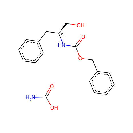 NC(=O)O.O=C(N[C@H](CO)Cc1ccccc1)OCc1ccccc1